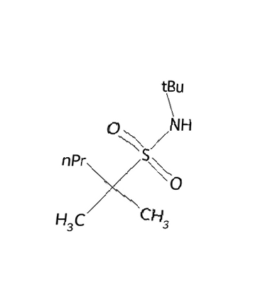 CCCC(C)(C)S(=O)(=O)NC(C)(C)C